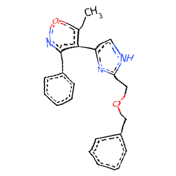 Cc1onc(-c2ccccc2)c1-c1c[nH]c(COCc2ccccc2)n1